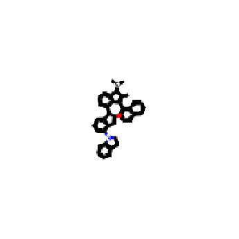 CC1=Cc2c(cccc2N2CCc3ccccc32)C1c1cccc2c1C(c1cccc3ccccc13)=C(C)C2[SiH](C)C